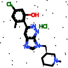 Cc1cc(Cl)cc(O)c1-c1cc2ncn(C[C@H]3CCCN(C)C3)c2nn1.Cl